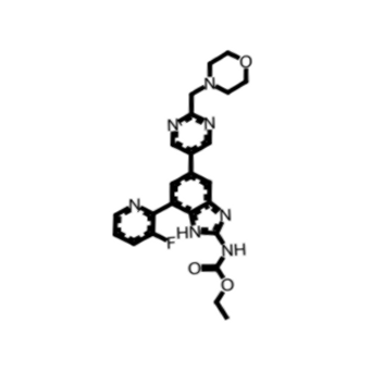 CCOC(=O)Nc1nc2cc(-c3cnc(CN4CCOCC4)nc3)cc(-c3ncccc3F)c2[nH]1